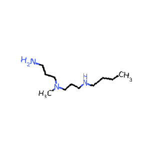 CCCCNCCCN(C)CCCN